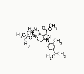 COC(=O)c1nn(-c2ccc(C(C)C)cc2C)c2c1[C@H](CN)N(C(=O)OC(C)(C)C)CC2